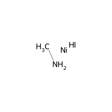 CN.I.[Ni]